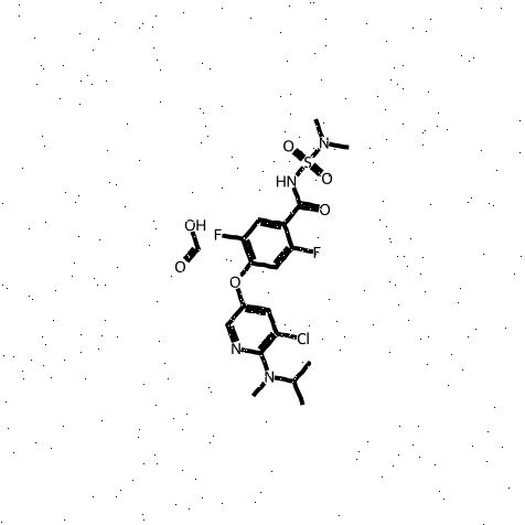 CC(C)N(C)c1ncc(Oc2cc(F)c(C(=O)NS(=O)(=O)N(C)C)cc2F)cc1Cl.O=CO